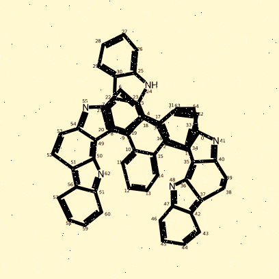 c1ccc(-c2ccc3c(c2-c2ccccc2-c2c(-c4cccc5c4[nH]c4ccccc45)ccc4c2-c2c5c(ccc2=N4)=c2ccccc2=N5)-c2c4c(ccc2=N3)=c2ccccc2=N4)cc1